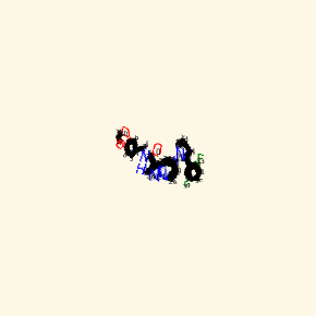 O=C(NCc1ccc2c(c1)OCCO2)c1cnn2ccc(N3CCCC3c3cc(F)ccc3F)cc12